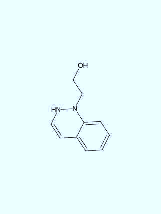 OCCN1NC=Cc2ccccc21